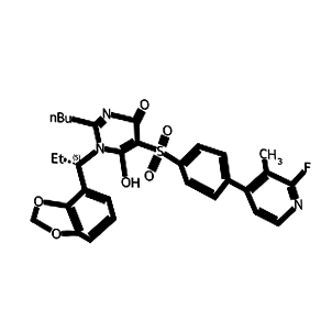 CCCCc1nc(=O)c(S(=O)(=O)c2ccc(-c3ccnc(F)c3C)cc2)c(O)n1[C@@H](CC)c1cccc2c1OCO2